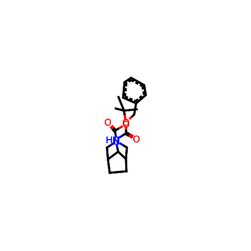 CC(C)(C)OC(=O)N1CC2CCC(C1)C2NC(=O)OCc1ccccc1